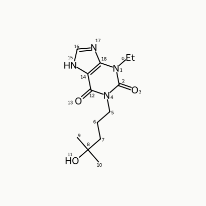 CCn1c(=O)n(CCCC(C)(C)O)c(=O)c2[nH]cnc21